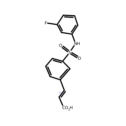 O=C(O)/C=C/c1cccc(S(=O)(=O)Nc2cccc(F)c2)c1